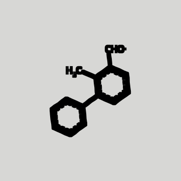 Cc1c([C]=O)cccc1-c1ccccc1